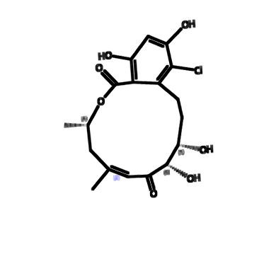 C/C1=C/C(=O)[C@@H](O)[C@@H](O)CCc2c(Cl)c(O)cc(O)c2C(=O)O[C@@H](C)C1